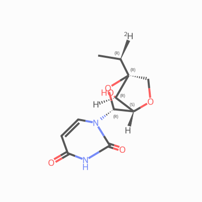 [2H][C@H](C)[C@]12CO[C@H]([C@H](n3ccc(=O)[nH]c3=O)O1)[C@H]2O